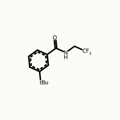 CC(C)(C)c1cccc(C(=O)NCC(F)(F)F)c1